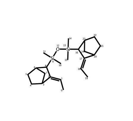 CC=C1C2CCC(C2)C1[Si](C)(C)O[Si](C)(C)C1C(=CC)C2CCC1C2